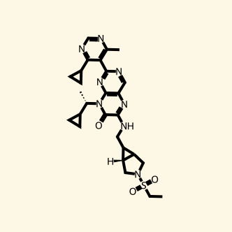 CCS(=O)(=O)N1CC2C(CNc3nc4cnc(-c5c(C)ncnc5C5CC5)nc4n([C@@H](C)C4CC4)c3=O)[C@H]2C1